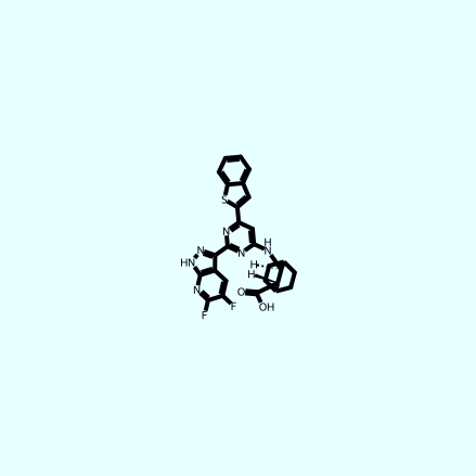 O=C(O)[C@H]1C2CCC(CC2)[C@@H]1Nc1cc(-c2cc3ccccc3s2)nc(-c2n[nH]c3nc(F)c(F)cc23)n1